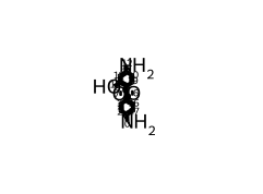 Nc1ccc(S(=O)(=O)c2ccc(N)cc2O)cc1